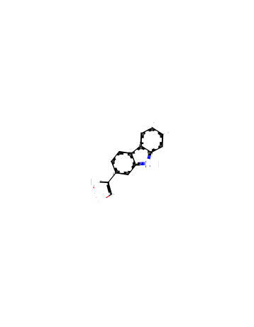 B1OOC=C1c1ccc2c(c1)[nH]c1ccccc12